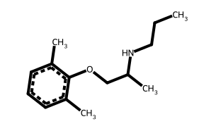 CCCNC(C)COc1c(C)cccc1C